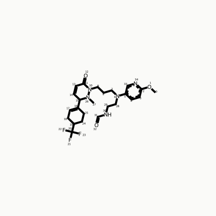 COc1ccc(N(CCCN2C(=O)C=CC(C3=CCC(C(F)(F)F)CC3)N2C)CCNC=O)cn1